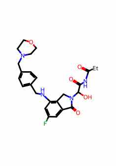 CCC(=O)NC(=O)C(O)N1Cc2c(NCc3ccc(CN4CCOCC4)cc3)cc(F)cc2C1=O